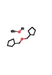 C1CCC(COCC2CCCC2)C1.CCOC(C)(C)C